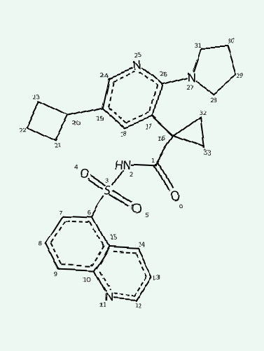 O=C(NS(=O)(=O)c1cccc2ncccc12)C1(c2cc(C3CCC3)cnc2N2CCCC2)CC1